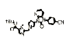 Cn1c(C(=O)OC(C)(C)C)cnc1CN1CCC(n2c(=O)n(-c3ccc(C#N)cc3)c3cccnc32)C1